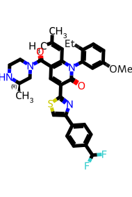 CCc1ccc(OC)cc1-n1c(C=C(C)C)c(C(=O)N2CCN[C@H](C)C2)cc(-c2nc(-c3ccc(C(F)F)cc3)cs2)c1=O